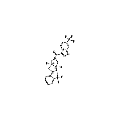 O=C(c1nnc2cc(C(F)(F)F)ccn12)N1C[C@H]2C[C@H](c3ccccc3C(F)(F)F)C[C@H]2C1